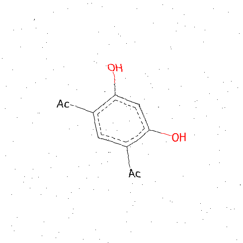 CC(=O)c1cc(C(C)=O)c(O)cc1O